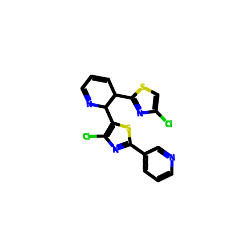 Clc1csc(C2C=CC=NC2c2sc(-c3cccnc3)nc2Cl)n1